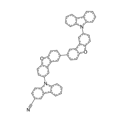 N#Cc1ccc2c(c1)c1ccccc1n2-c1ccc2oc3ccc(-c4ccc5oc6ccc(-n7c8ccccc8c8ccccc87)cc6c5c4)cc3c2c1